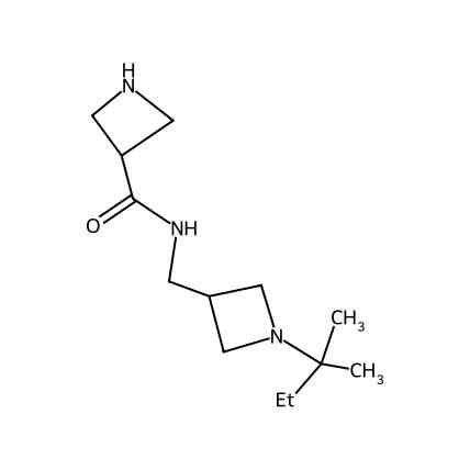 CCC(C)(C)N1CC(CNC(=O)C2CNC2)C1